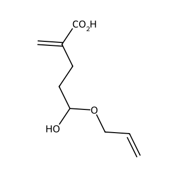 C=CCOC(O)CCC(=C)C(=O)O